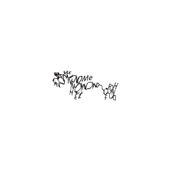 CCc1cc(Nc2ncc(Br)c(Nc3ccc4nc(C)ccc4c3P(C)(C)=O)n2)c(OC)cc1N1CCC(N2CC(CCc3cc(F)c(C4CCC(=O)NC4=O)c(F)c3)C2)CC1